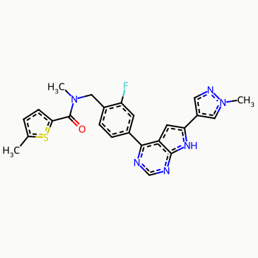 Cc1ccc(C(=O)N(C)Cc2ccc(-c3ncnc4[nH]c(-c5cnn(C)c5)cc34)cc2F)s1